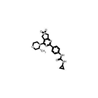 C[C@@H]1COCCN1c1nc(-c2ccc(NC(=O)NC3CC3)cc2)nc2c1CS(=O)(=O)C2